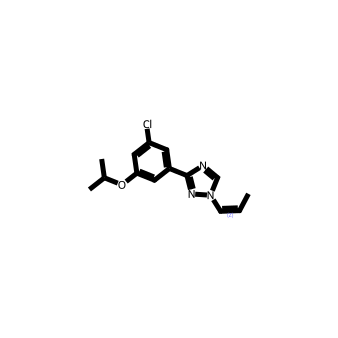 C/C=C\n1cnc(-c2cc(Cl)cc(OC(C)C)c2)n1